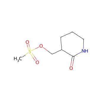 CS(=O)(=O)OCC1CCCNC1=O